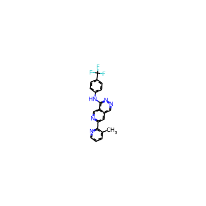 Cc1cccnc1-c1cc2cnnc(Nc3ccc(C(F)(F)F)cc3)c2cn1